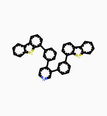 c1cc(-c2ccncc2-c2cccc(-c3cccc4c3sc3ccccc34)c2)cc(-c2cccc3c2sc2ccccc23)c1